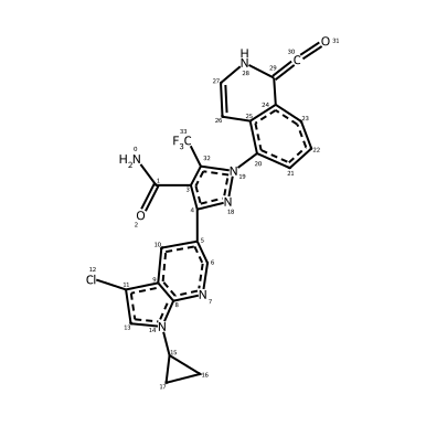 NC(=O)c1c(-c2cnc3c(c2)c(Cl)cn3C2CC2)nn(-c2cccc3c2C=CNC3=C=O)c1C(F)(F)F